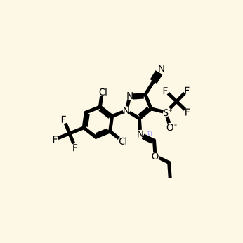 CCO/C=N/c1c([S+]([O-])C(F)(F)F)c(C#N)nn1-c1c(Cl)cc(C(F)(F)F)cc1Cl